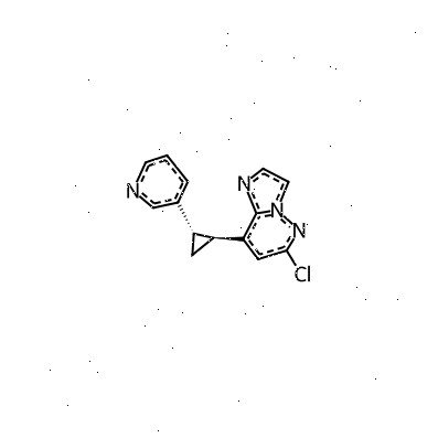 Clc1cc([C@H]2C[C@@H]2c2cccnc2)c2nccn2n1